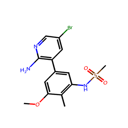 COc1cc(-c2cc(Br)cnc2N)cc(NS(C)(=O)=O)c1C